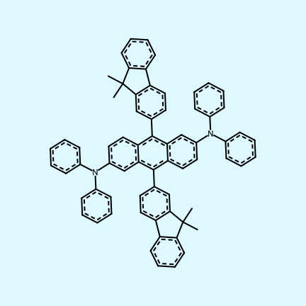 CC1(C)c2ccccc2-c2ccc(-c3c4ccc(N(c5ccccc5)c5ccccc5)cc4c(-c4ccc5c(c4)C(C)(C)c4ccccc4-5)c4ccc(N(c5ccccc5)c5ccccc5)cc34)cc21